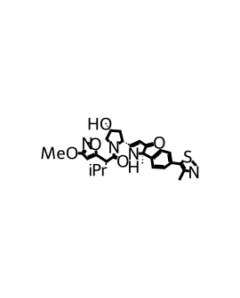 COc1cc([C@H](C(=O)N2C[C@H](O)C[C@@H]2C2=CC(=O)[C@@](C)(c3ccc(-c4scnc4C)cc3)N2)C(C)C)on1